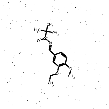 CCOc1cc(/C=N/[S+]([O-])C(C)(C)C)ccc1OC